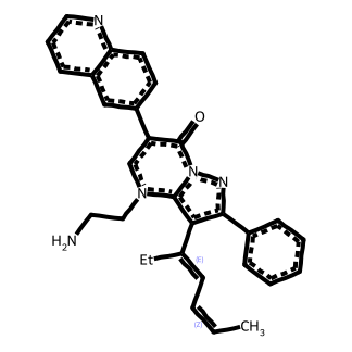 C/C=C\C=C(/CC)c1c(-c2ccccc2)nn2c(=O)c(-c3ccc4ncccc4c3)cn(CCN)c12